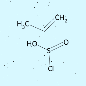 C=CC.O=S(O)Cl